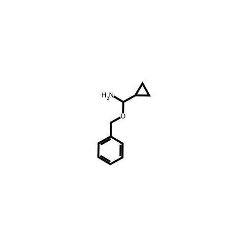 NC(OCc1ccccc1)C1CC1